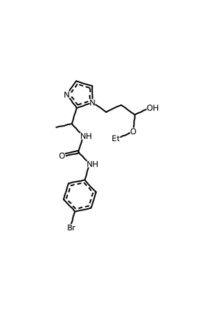 CCOC(O)CCn1ccnc1C(C)NC(=O)Nc1ccc(Br)cc1